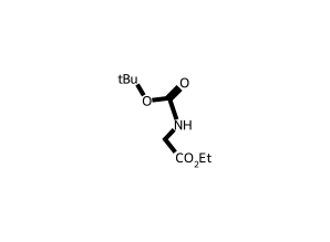 C[CH]OC(=O)CNC(=O)OC(C)(C)C